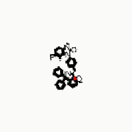 COC(=O)[C@H](Cc1ccc(-n2c(=O)n(C)c3ccc(F)c(F)c32)cc1)NC(c1ccccc1)(c1ccccc1)c1ccccc1